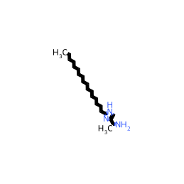 CCCCCCCCCCCCCCCCCc1nc(C(C)N)c[nH]1